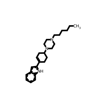 CCCCCCN1CCN(C2CC=C(c3cc4ccccc4[nH]3)CC2)CC1